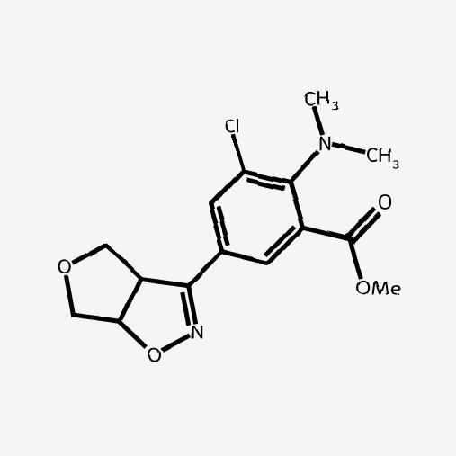 COC(=O)c1cc(C2=NOC3COCC23)cc(Cl)c1N(C)C